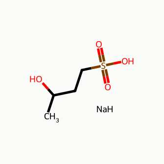 CC(O)CCS(=O)(=O)O.[NaH]